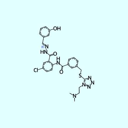 CN(C)CCn1nnnc1SCc1cccc(C(=O)Nc2ccc(Cl)cc2C(=O)N/N=C/c2cccc(O)c2)c1